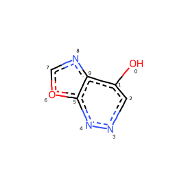 Oc1cnnc2ocnc12